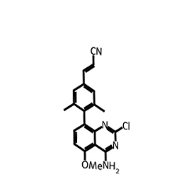 COc1ccc(-c2c(C)cc(C=CC#N)cc2C)c2nc(Cl)nc(N)c12